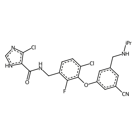 CC(C)NCc1cc(C#N)cc(Oc2c(Cl)ccc(CNC(=O)c3[nH]cnc3Cl)c2F)c1